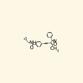 Cc1onc(-c2ccccc2)c1C#Cc1ccc(C(=O)NCC2CC2)cc1